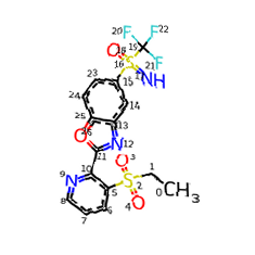 CCS(=O)(=O)c1cccnc1-c1nc2cc(S(=N)(=O)C(F)(F)F)ccc2o1